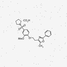 COc1cc(S(=O)(=O)N2CCC[C@@H]2C(=O)O)ccc1OCCc1nc(-c2ccccc2)oc1C